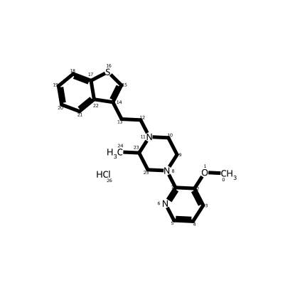 COc1cccnc1N1CCN(CCc2csc3ccccc23)C(C)C1.Cl